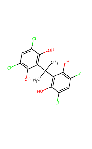 CC(C)(c1c(O)c(Cl)cc(Cl)c1O)c1c(O)c(Cl)cc(Cl)c1O